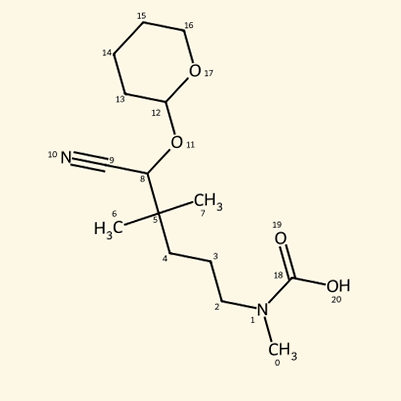 CN(CCCC(C)(C)C(C#N)OC1CCCCO1)C(=O)O